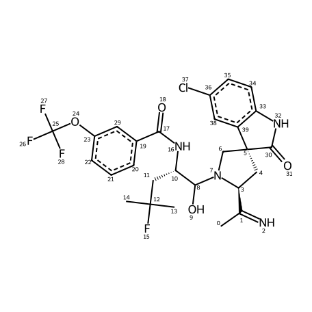 CC(=N)[C@@H]1C[C@@]2(CN1C(O)[C@H](CC(C)(C)F)NC(=O)c1cccc(OC(F)(F)F)c1)C(=O)Nc1ccc(Cl)cc12